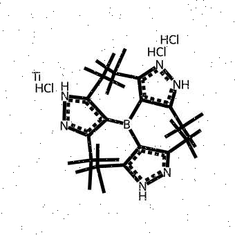 CC(C)(C)c1n[nH]c(C(C)(C)C)c1B(c1c(C(C)(C)C)n[nH]c1C(C)(C)C)c1c(C(C)(C)C)n[nH]c1C(C)(C)C.Cl.Cl.Cl.[Ti]